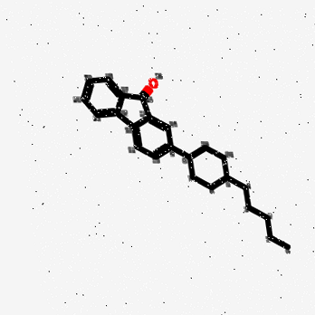 CCCCCC1CCC(c2ccc3c(c2)C(=O)c2ccccc2-3)CC1